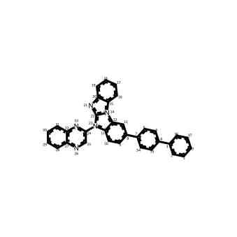 c1ccc(-c2ccc(-c3ccc4c(c3)n3c5ccccc5nc3n4-c3cnc4ccccc4n3)cc2)cc1